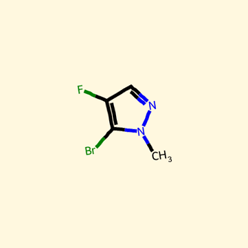 Cn1ncc(F)c1Br